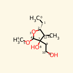 CC[C@H]1OC(OC)[C@@](O)(CCO)[C@@H]1C